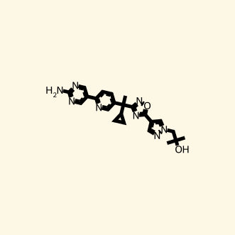 CC(C)(O)Cn1cc(-c2nc(C(C)(c3ccc(-c4cnc(N)nc4)nc3)C3CC3)no2)cn1